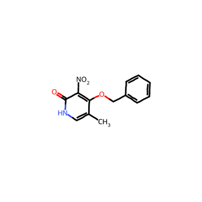 Cc1c[nH]c(=O)c([N+](=O)[O-])c1OCc1ccccc1